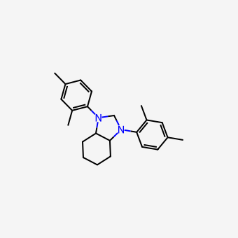 Cc1ccc(N2CN(c3ccc(C)cc3C)C3CCCCC32)c(C)c1